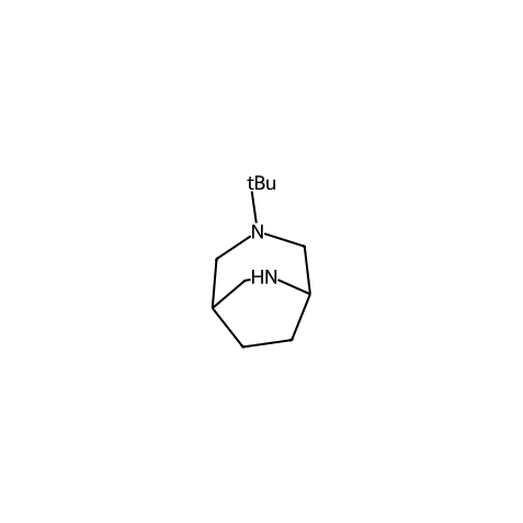 CC(C)(C)N1CC2CCC(C1)NC2